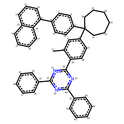 Cc1cc(C2(c3ccc(-c4cccc5ccccc45)cc3)CCCCCC2)ccc1-c1nc(-c2ccccc2)nc(-c2ccccc2)n1